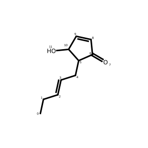 CCC=CCC1C(=O)C=CC1O